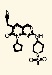 CS(=O)(=O)N1CCC(Nc2ncc3cc(CC#N)c(=O)n(C4CCCC4)c3n2)CC1